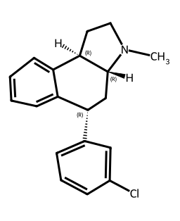 CN1CC[C@@H]2c3ccccc3[C@@H](c3cccc(Cl)c3)C[C@H]21